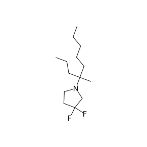 CCCCCC(C)(CCC)N1CCC(F)(F)C1